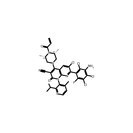 C=CC(=O)N1[C@H](C)CN(c2c(C#N)c(=O)n(-c3c(C)ccnc3C(C)C)c3nc(-c4c(F)c(Cl)c(Cl)c(N)c4Cl)c(Cl)cc23)C[C@@H]1C